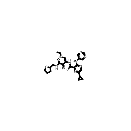 CCN/C=C(/NC(=O)c1nc(C2CC2)cnc1Nc1cncnc1)C(=N)C(=O)NCC1CCCO1